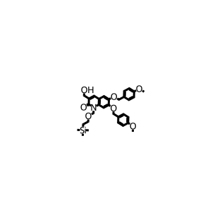 COc1ccc(COc2cc3cc(CO)c(=O)n(COCC[Si](C)(C)C)c3cc2OCc2ccc(OC)cc2)cc1